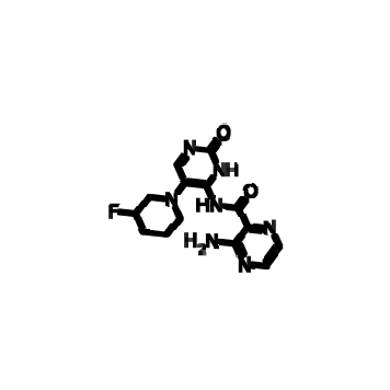 Nc1nccnc1C(=O)Nc1[nH]c(=O)ncc1N1CCCC(F)C1